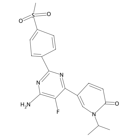 CC(C)n1cc(-c2nc(-c3ccc(S(C)(=O)=O)cc3)nc(N)c2F)ccc1=O